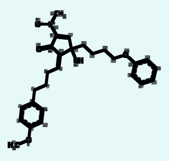 COc1ccc(CCCC=C2C(=O)C([S+](C)[O-])=CC2(O)CCCCOc2ccccc2)cc1